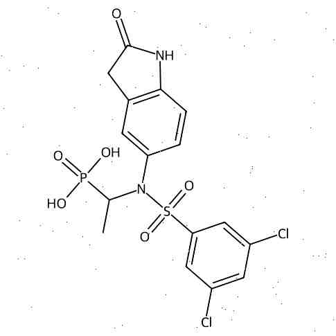 CC(N(c1ccc2c(c1)CC(=O)N2)S(=O)(=O)c1cc(Cl)cc(Cl)c1)P(=O)(O)O